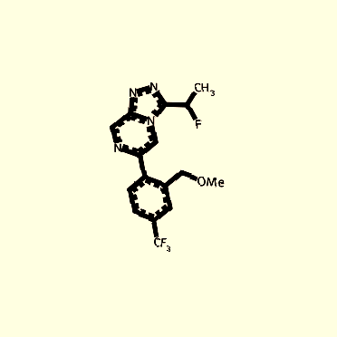 COCc1cc(C(F)(F)F)ccc1-c1cn2c(C(C)F)nnc2cn1